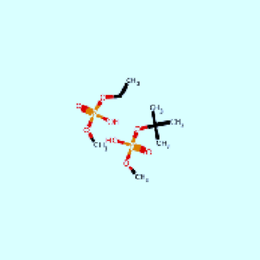 CCOP(=O)(O)OC.COP(=O)(O)OC(C)(C)C